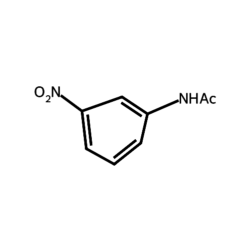 [CH2]C(=O)Nc1cccc([N+](=O)[O-])c1